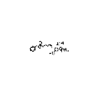 O=C(CCC/C=C\C[C@@H]1[C@@H](CO)[C@H](OP)C[C@@H]1O)OCc1ccccc1